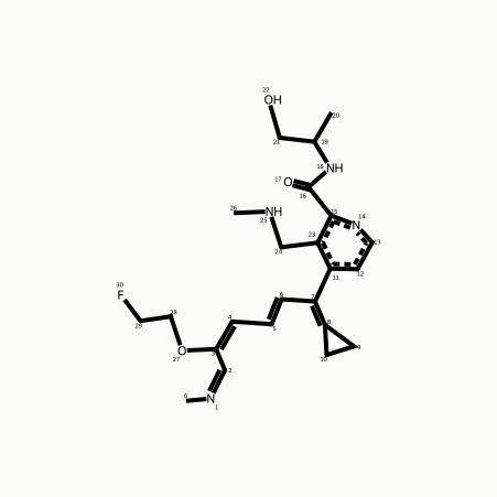 C\N=C/C(=C\C=C\C(=C1CC1)c1ccnc(C(=O)NC(C)CO)c1CNC)OCCF